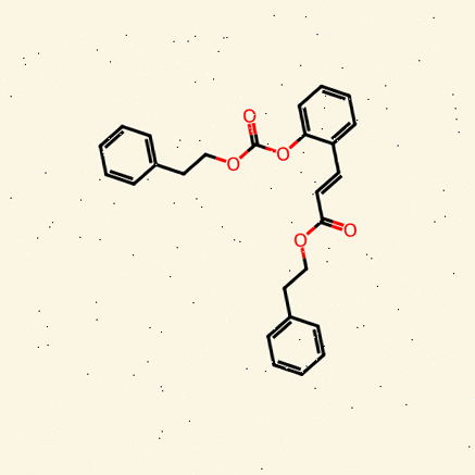 O=C(C=Cc1ccccc1OC(=O)OCCc1ccccc1)OCCc1ccccc1